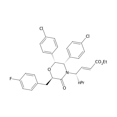 CCC[C@@H](C=CC(=O)OCC)N1C(=O)[C@@H](Cc2ccc(F)cc2)O[C@H](c2ccc(Cl)cc2)[C@@H]1c1ccc(Cl)cc1